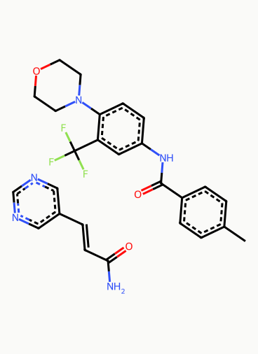 Cc1ccc(C(=O)Nc2ccc(N3CCOCC3)c(C(F)(F)F)c2)cc1.NC(=O)C=Cc1cncnc1